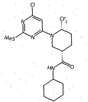 CSc1nc(Cl)cc(N2C[C@@H](C(=O)NC3CCCCC3)CC[C@H]2C(F)(F)F)n1